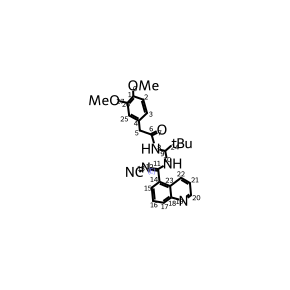 COc1ccc(CC(=O)NC(N/C(=N/C#N)c2cccc3ncccc23)C(C)(C)C)cc1OC